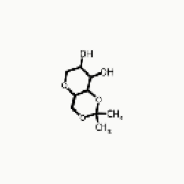 CC1(C)OCC2OCC(O)C(O)C2O1